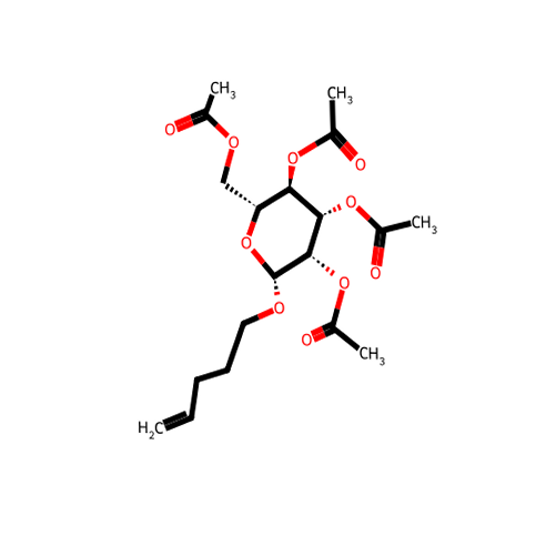 C=CCCCO[C@@H]1O[C@H](COC(C)=O)[C@@H](OC(C)=O)[C@H](OC(C)=O)[C@@H]1OC(C)=O